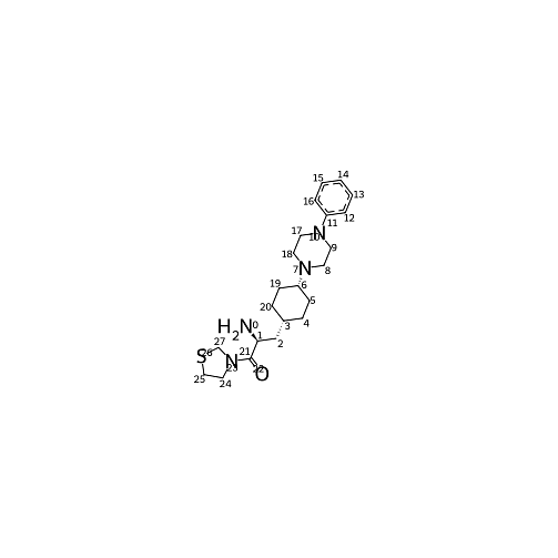 N[C@@H](C[C@H]1CC[C@@H](N2CCN(c3ccccc3)CC2)CC1)C(=O)N1CCSC1